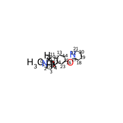 CN1CC[C@]23CCCC[C@H]2[C@H]1Cc1ccc(Oc2ccccn2)cc13